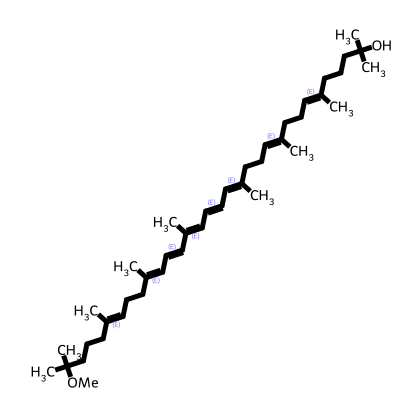 COC(C)(C)CCC/C(C)=C/CC/C(C)=C/C=C/C(C)=C/C=C/C=C(\C)CC/C=C(\C)CC/C=C(\C)CCCC(C)(C)O